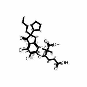 CCCCC1(C2CCCC2)Cc2cc(OC(CCC(=O)O)C(C)(C)C(=O)O)c(Cl)c(Cl)c2C1=O